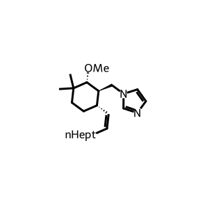 CCCCCCC/C=C\[C@@H]1CCC(C)(C)[C@H](OC)[C@H]1Cn1ccnc1